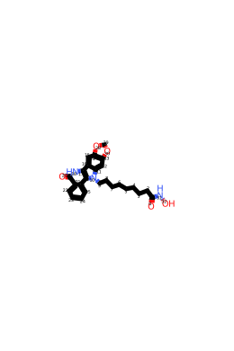 O=C(CCCCCCCCn1c2cc3c(cc2c2[nH]c(=O)c4ccccc4c21)OCO3)NO